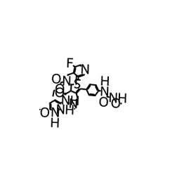 CCOC(=O)N(Cc1c(F)cncc1F)C1SC(c2ccc(NC(=O)NOC)cc2)=C(CN(C)C)C1C(=O)NC1=CC=C(OC)NN1